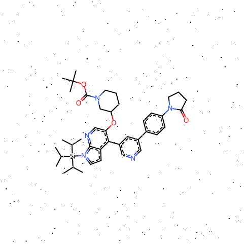 CC(C)[Si](C(C)C)(C(C)C)n1ccc2c(-c3cncc(-c4ccc(N5CCCC5=O)cc4)c3)c(OC3CCCN(C(=O)OC(C)(C)C)C3)cnc21